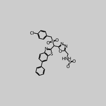 O=[SH](=O)NCc1nnc(C(c2nc3ccc(-c4ccccc4)cc3s2)S(=O)(=O)Cc2ccc(Cl)cc2)o1